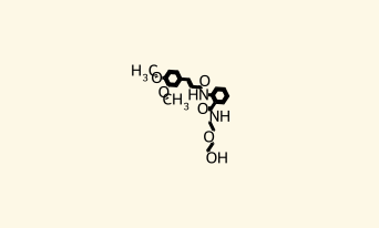 COc1ccc(C=CC(=O)Nc2ccccc2C(=O)NCCOCCO)cc1OC